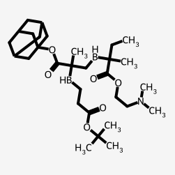 CCC(C)(BCC(C)(BCCC(=O)OC(C)(C)C)C(=O)OC12CC3CC(CC(C3)C1)C2)C(=O)OCCN(C)C